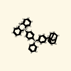 c1ccc(N(c2ccc(N3c4ccccc4Sc4ccccc43)cc2)c2ccc(C34CC5CC(CC(C5)C3)C4)cc2)cc1